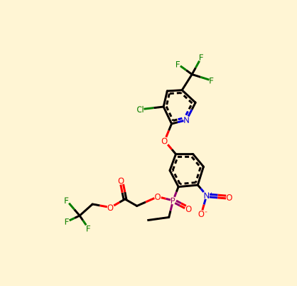 CCP(=O)(OCC(=O)OCC(F)(F)F)c1cc(Oc2ncc(C(F)(F)F)cc2Cl)ccc1[N+](=O)[O-]